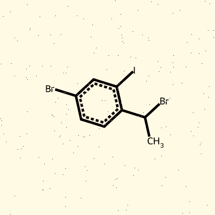 CC(Br)c1ccc(Br)cc1I